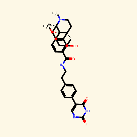 CO[C@@]12CCCC[C@@]13CCN(C)[C@@H]2Cc1ccc(C(=O)NCCc2ccc(-c4c[nH]c(=O)[nH]c4=O)cc2)c(O)c13